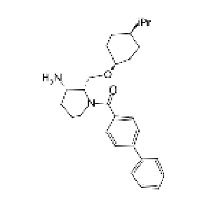 CC(C)[C@H]1CC[C@@H](OC[C@H]2[C@@H](N)CCCN2C(=O)c2ccc(-c3ccccc3)cc2)CC1